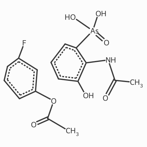 CC(=O)Nc1c(O)cccc1[As](=O)(O)O.CC(=O)Oc1cccc(F)c1